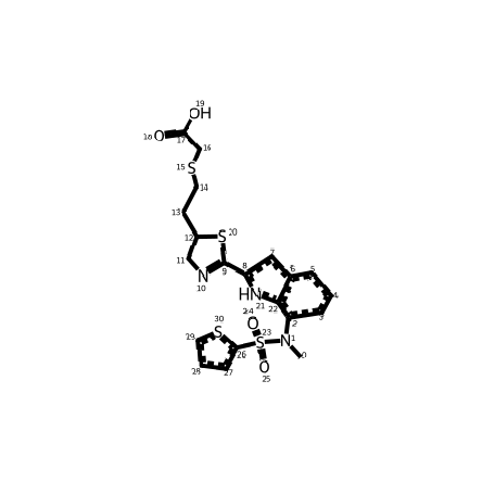 CN(c1cccc2cc(C3=NCC(CCSCC(=O)O)S3)[nH]c12)S(=O)(=O)c1cccs1